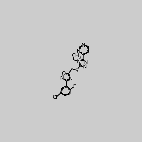 CCn1c(SCc2nc(-c3cc(Cl)ccc3F)no2)nnc1-c1ccncn1